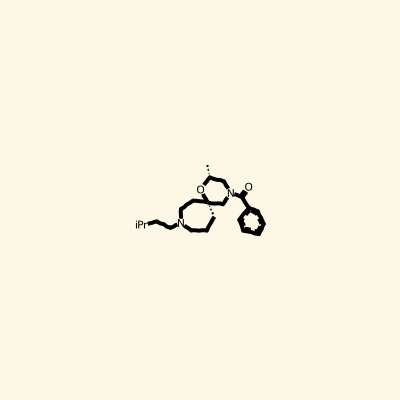 CC(C)CCN1CCC[C@@]2(CC1)CN(C(=O)c1ccccc1)C[C@@H](C)O2